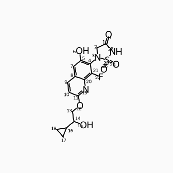 O=C1CN(c2c(O)cc3ccc(OCC(O)C4CC4)nc3c2F)S(=O)(=O)N1